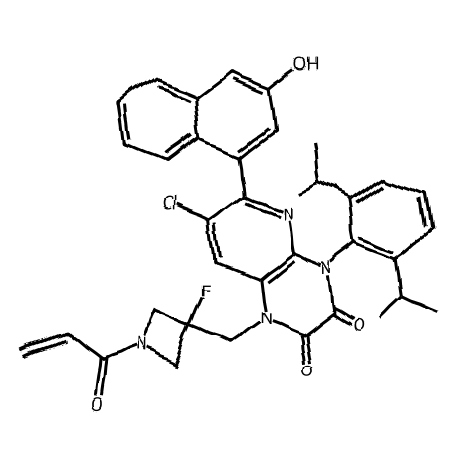 C=CC(=O)N1CC(F)(Cn2c(=O)c(=O)n(-c3c(C(C)C)cccc3C(C)C)c3nc(-c4cc(O)cc5ccccc45)c(Cl)cc32)C1